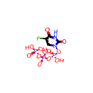 O=c1[nH]c(=O)n(OP(=O)(O)OP(=O)(O)OP(=O)(O)O)cc1F